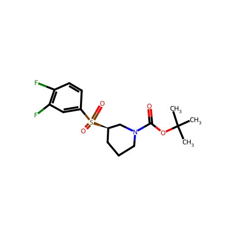 CC(C)(C)OC(=O)N1CCC[C@@H](S(=O)(=O)c2ccc(F)c(F)c2)C1